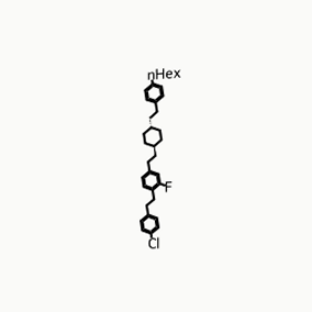 CCCCCCc1ccc(CC[C@H]2CC[C@H](CCc3ccc(CCc4ccc(Cl)cc4)c(F)c3)CC2)cc1